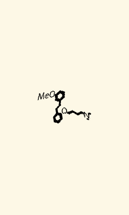 COc1cccc(CCc2ccccc2OCCCCN(C)C)c1